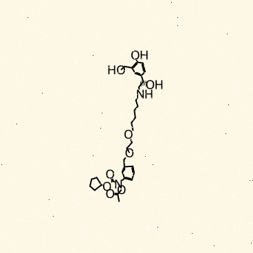 CC(=O)ON(C(=O)OC1CCCC1)c1cccc(COCCOCCCCCCNC[C@@H](O)c2ccc(O)c(CO)c2)c1